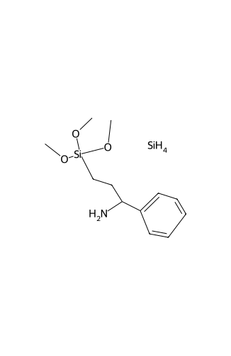 CO[Si](CCC(N)c1ccccc1)(OC)OC.[SiH4]